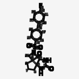 O=C1NC(=O)C2(CCCC23CN(S(=O)(=O)c2ccc(-c4ccc(F)cc4)cc2)C3)N1